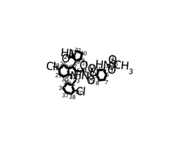 CS(=O)(=O)Nc1cccc(S(=O)(=O)NC(=O)c2c(-c3ccc[nH]c3=O)c3cc(Cl)ccc3n2Cc2ccccc2Cl)c1